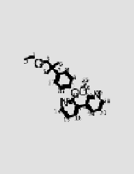 CCOCC(C)(C)c1ccc(Oc2ncccc2-c2cccnc2OC)cc1